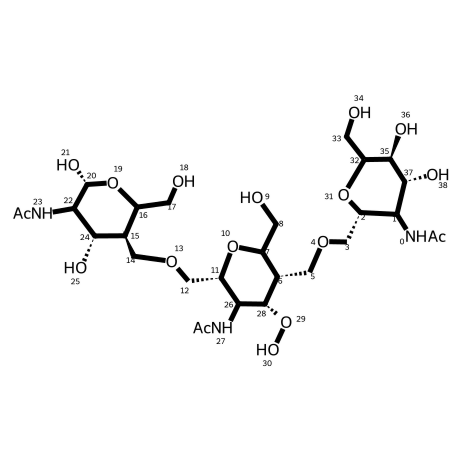 CC(=O)NC1[C@H](COC[C@H]2C(CO)O[C@@H](COC[C@@H]3C(CO)O[C@@H](O)C(NC(C)=O)[C@H]3O)C(NC(C)=O)[C@H]2OO)OC(CO)[C@@H](O)[C@@H]1O